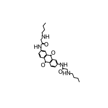 CCCCNCC(=O)Nc1ccc2c(c1)C(=O)c1cc(NC(=O)CNCCCC)ccc1C2=O